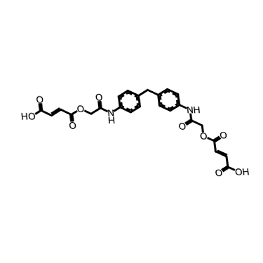 O=C(O)/C=C/C(=O)OCC(=O)Nc1ccc(Cc2ccc(NC(=O)COC(=O)/C=C/C(=O)O)cc2)cc1